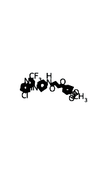 CS(=O)(=O)c1ccc(C(=O)CCC(=O)NC2CCC(Nc3cc(C(F)(F)F)nc4ccc(Cl)cc34)CC2)cc1